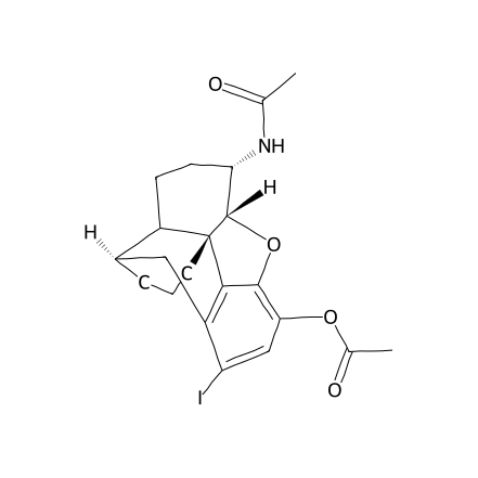 CC(=O)N[C@H]1CCC2[C@@H]3CCC[C@@]24c2c(c(I)cc(OC(C)=O)c2O[C@@H]14)C3